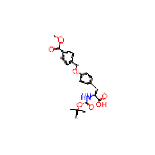 COC(=O)c1ccc(COc2ccc(CC(NC(=O)OC(C)(C)C)C(=O)O)cc2)cc1